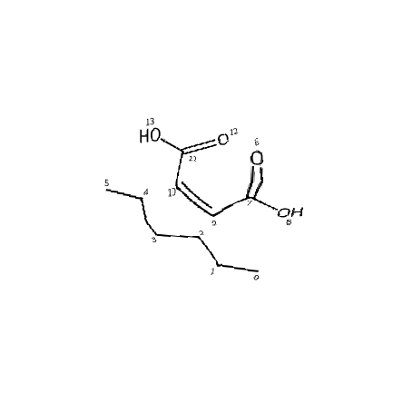 CCCCCC.O=C(O)/C=C\C(=O)O